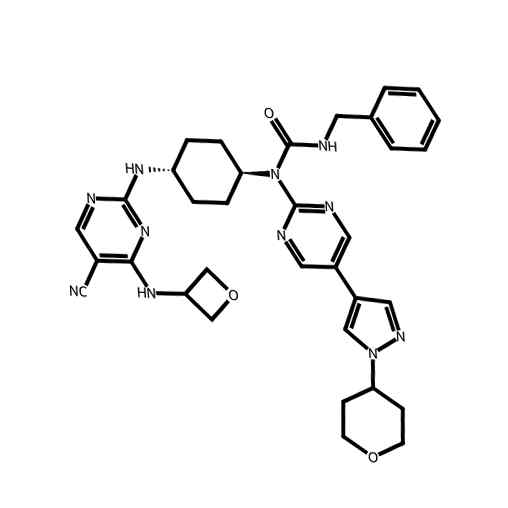 N#Cc1cnc(N[C@H]2CC[C@H](N(C(=O)NCc3ccccc3)c3ncc(-c4cnn(C5CCOCC5)c4)cn3)CC2)nc1NC1COC1